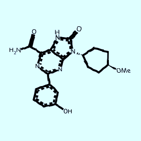 CO[C@H]1CC[C@H](n2c(=O)[nH]c3c(C(N)=O)nc(-c4cccc(O)c4)nc32)CC1